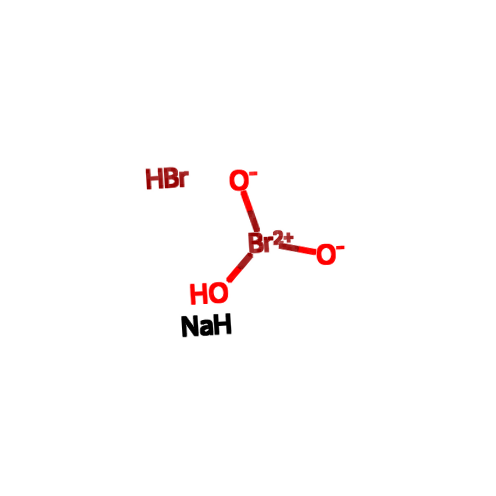 Br.[NaH].[O-][Br+2]([O-])O